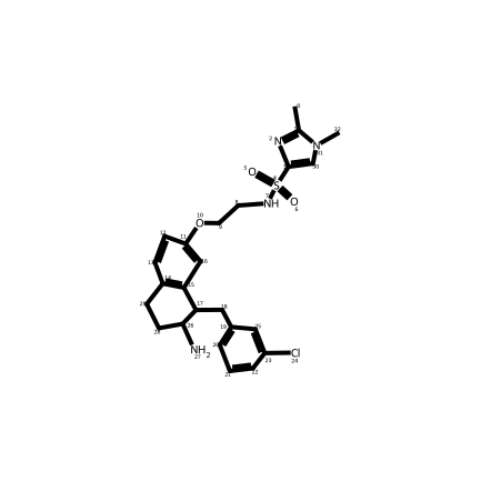 Cc1nc(S(=O)(=O)NCCOc2ccc3c(c2)C(Cc2cccc(Cl)c2)C(N)CC3)cn1C